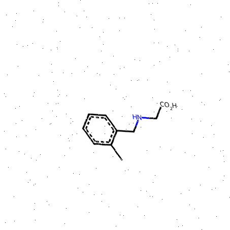 Cc1ccccc1CNCC(=O)O